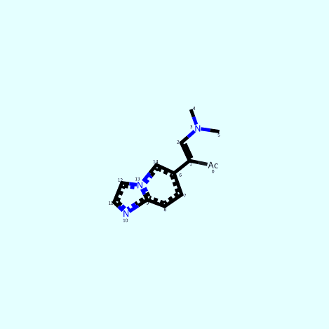 CC(=O)C(=CN(C)C)c1ccc2nccn2c1